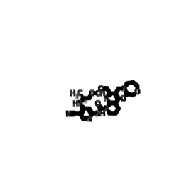 COC[C@@H](C)Nc1cc(NC(=O)N2CCCc3cc(CN4CCCOCC4=O)c(C=O)nc32)ncc1C#N